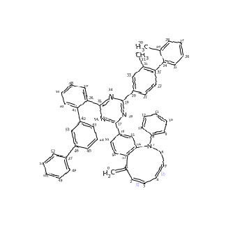 C=C1/C=C\C=C/CN(c2ccccc2)c2cc(-c3nc(-c4ccc(-c5ccccc5C)c(C)c4)nc(-c4ccccc4-c4cccc(-c5ccccc5)c4)n3)ccc21